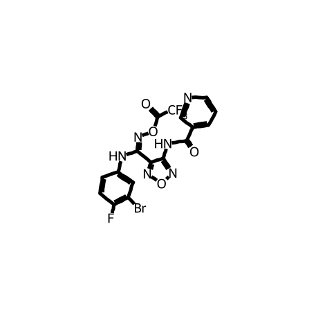 O=C(Nc1nonc1/C(=N\OC(=O)C(F)(F)F)Nc1ccc(F)c(Br)c1)c1cccnc1